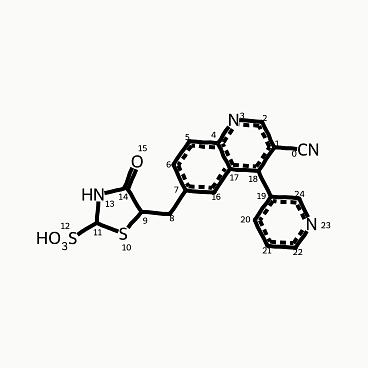 N#Cc1cnc2ccc(CC3SC(S(=O)(=O)O)NC3=O)cc2c1-c1cccnc1